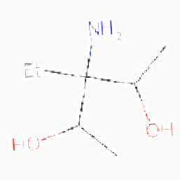 CCC(N)(C(C)O)C(C)O